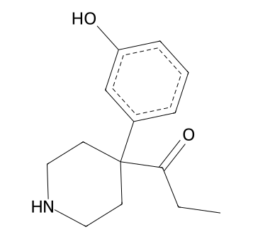 CCC(=O)C1(c2cccc(O)c2)CCNCC1